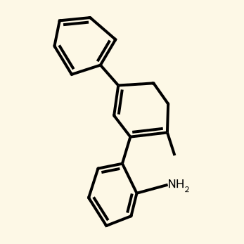 CC1=C(c2ccccc2N)C=C(c2ccccc2)CC1